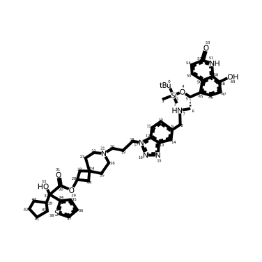 CC(C)(C)[Si](C)(C)O[C@@H](CNCc1ccc2c(c1)nnn2CCCN1CCC2(CC1)CC(OC(=O)C(O)(c1cccs1)C1CCCC1)C2)c1ccc(O)c2[nH]c(=O)ccc12